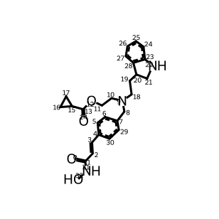 O=C(/C=C/c1ccc(CN(CCOC(=O)C2CC2)CCC2CNc3ccccc32)cc1)NO